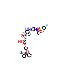 CC(C)(C)[Si](Oc1ccc(OC[C@@H](O)CNCCc2ccc(NC3CCN(C(=O)[C@@H]4CCCN4S(=O)(=O)c4ccc(F)cc4)CC3)cc2)cc1)(c1ccccc1)c1ccccc1.O=CO